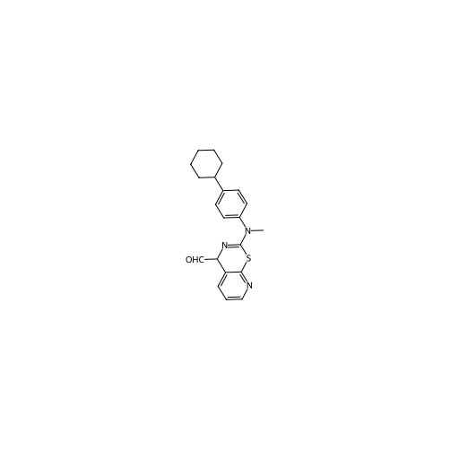 CN(C1=NC(C=O)c2cccnc2S1)c1ccc(C2CCCCC2)cc1